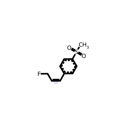 CS(=O)(=O)c1ccc(/C=C\CF)cc1